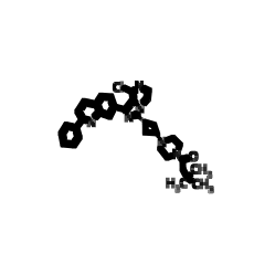 CC(C)(C)CC(=O)N1CCN([C@H]2C[C@@H](c3nc(-c4ccc5ccc(-c6ccccc6)nc5c4)c4c(Cl)nccn43)C2)CC1